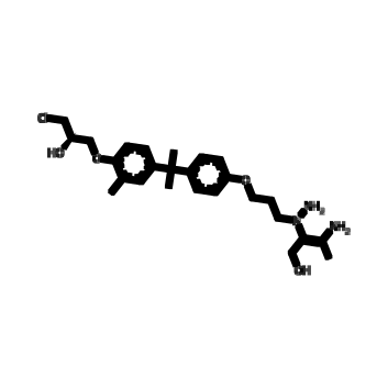 C/C(N)=C(\CO)N(N)CCCOc1ccc(C(C)(C)c2ccc(OC[C@@H](O)CCl)c(C)c2)cc1